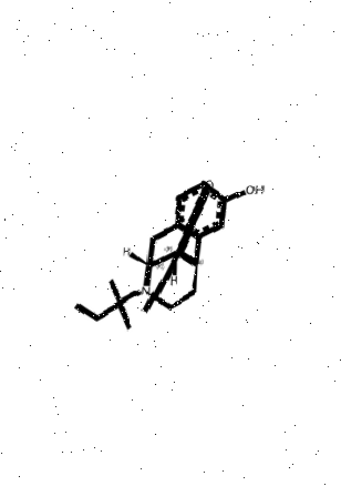 CCC(C)(C)N1CC[C@]23CCC(=O)C[C@H]2[C@H]1Cc1ccc(O)cc13